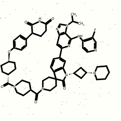 CC(C)n1cnc2cc(-c3ccc4c(c3)N([C@H]3C[C@@H](N5CCCCC5)C3)C(=O)C43CCN(C(=O)C4CCN(C(=O)[C@H]5CC[C@H](Oc6ccc(C7CCC(=O)NC7=O)cc6)CC5)CC4)CC3)nc(Nc3ccncc3F)c21